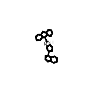 c1ccc2c(-c3ccc4[nH]c(-c5c6ccccc6cc6ccccc56)nc4c3)cccc2c1